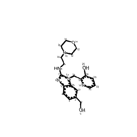 OCc1ccc2nc(NCCN3CCOCC3)n(Cc3ncccc3O)c2c1